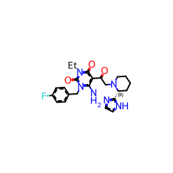 CCn1c(=O)c(C(=O)CN2CCCC[C@@H]2c2ncc[nH]2)c(N)n(Cc2ccc(F)cc2)c1=O